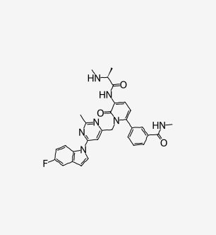 CNC(=O)c1cccc(-c2ccc(NC(=O)[C@H](C)NC)c(=O)n2Cc2cc(-n3ccc4cc(F)ccc43)nc(C)n2)c1